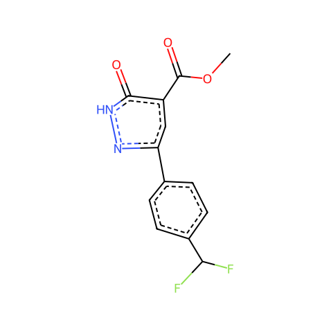 COC(=O)c1cc(-c2ccc(C(F)F)cc2)n[nH]c1=O